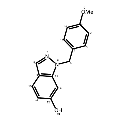 COc1ccc(Cn2ncc3ccc(O)cc32)cc1